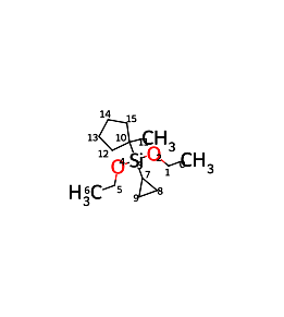 CCO[Si](OCC)(C1CC1)C1(C)CCCC1